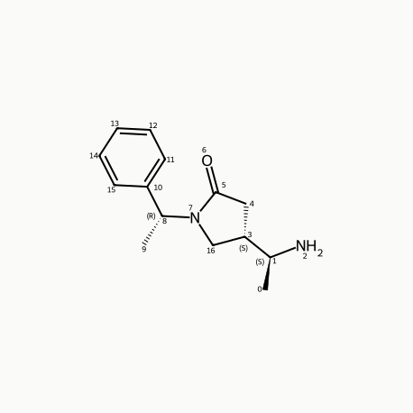 C[C@H](N)[C@H]1CC(=O)N([C@H](C)c2ccccc2)C1